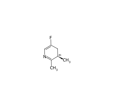 CC1=NC=C(F)C[C@H]1C